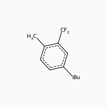 CCC(C)c1ccc(C)c(C(F)(F)F)c1